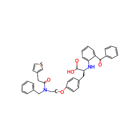 O=C(c1ccccc1)c1ccccc1N[C@@H](Cc1ccc(OCCN(Cc2ccccc2)C(=O)Cc2ccsc2)cc1)C(=O)O